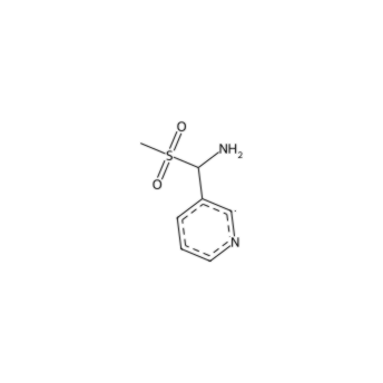 CS(=O)(=O)C(N)c1[c]nccc1